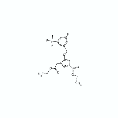 CCOC(=O)Cn1nc(C(=O)OCC)cc1OCc1cc(F)cc(C(F)(F)F)c1